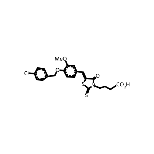 COc1cc(/C=C2\SC(=S)N(CCCC(=O)O)C2=O)ccc1OCc1ccc(Cl)cc1